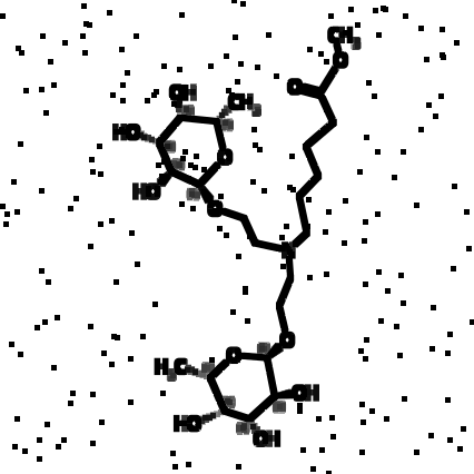 COC(=O)CCCCCN(CCO[C@@H]1O[C@@H](C)[C@@H](O)[C@@H](O)[C@@H]1O)CCO[C@@H]1O[C@@H](C)[C@@H](O)[C@@H](O)[C@@H]1O